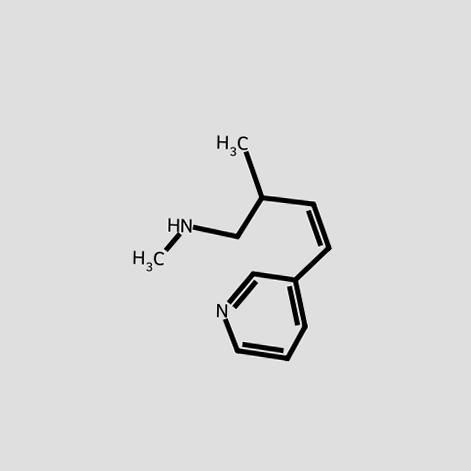 CNCC(C)/C=C\c1cccnc1